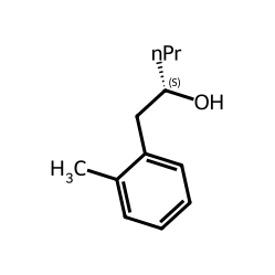 CCC[C@H](O)Cc1ccccc1C